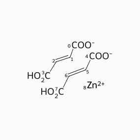 O=C([O-])/C=C/C(=O)O.O=C([O-])/C=C/C(=O)O.[Zn+2]